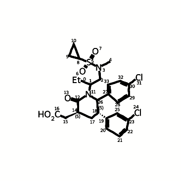 CCC(CN(C)S(=O)(=O)C1CC1)N1C(=O)[C@H](CC(=O)O)C[C@@H](c2cccc(Cl)c2)C1c1ccc(Cl)cc1